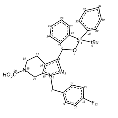 CC(C)(C)[Si](OCc1nn(Cc2ccc(F)cc2)c2c1CCN(C(=O)O)C2)(c1ccccc1)c1ccccc1